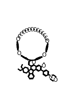 CCC1(CC)CCC2(CC1)c1ccccc1-c1c2c2c(c3cc(OC)c(-c4ccc(N5CCOCC5)cc4)cc13)OC1(C=C2)c2ccc(cc2)Oc2ccc(cc2)OCCCCCCCCCCCCOc2ccc(cc2)Oc2ccc1cc2